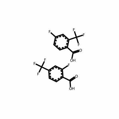 O=C(O)c1ccc(C(F)(F)F)cc1F.O=C(O)c1ccc(F)cc1C(F)(F)F